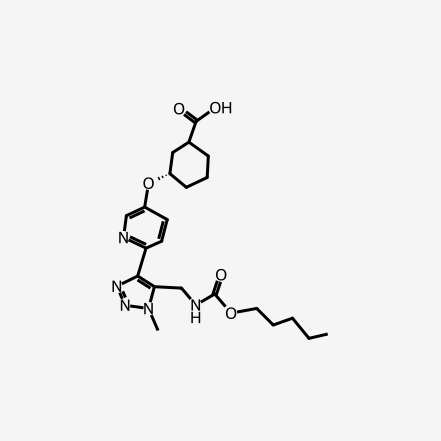 CCCCCOC(=O)NCc1c(-c2ccc(O[C@H]3CCCC(C(=O)O)C3)cn2)nnn1C